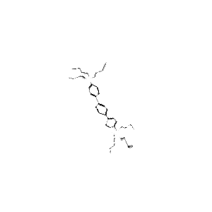 CCC[CH2][Sn]([CH2]CCC)([CH2]CCC)[c]1ccc(-c2ccc(-c3cc[c]([Sn]([CH2]CCC)([CH2]CCC)[CH2]CCC)cc3)cc2)cc1